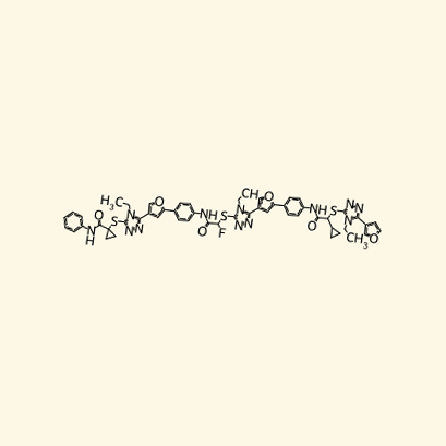 CCn1c(SC(F)C(=O)Nc2ccc(-c3cc(-c4nnc(SC5(C(=O)Nc6ccccc6)CC5)n4CC)co3)cc2)nnc1-c1coc(-c2ccc(NC(=O)C(Sc3nnc(-c4ccoc4)n3CC)C3CC3)cc2)c1